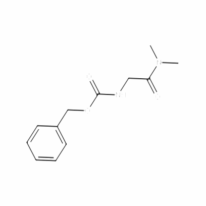 CN(C)C(=O)CNC(=O)OCc1ccccc1